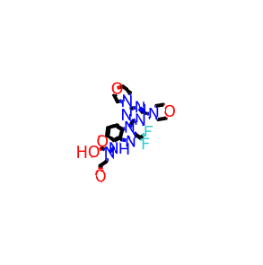 O=CCN(Nc1cccc2c1nc(C(F)F)n2-c1nc(N2CCOCC2)nc(N2CCOCC2)n1)C(=O)O